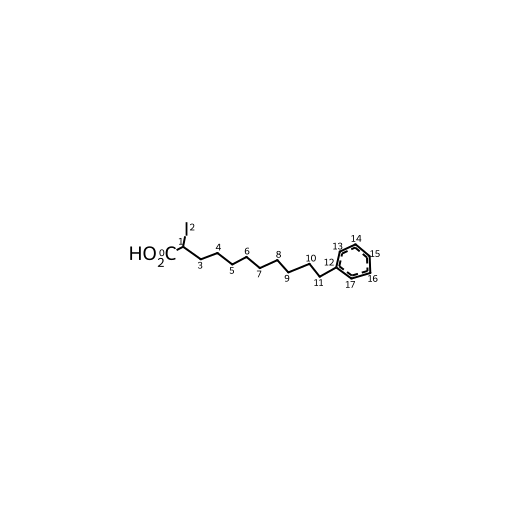 O=C(O)C(I)CCCCCCCCCc1ccccc1